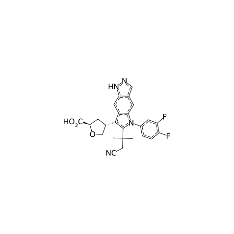 CC(C)(CC#N)c1c([C@@H]2CO[C@@H](C(=O)O)C2)c2cc3[nH]ncc3cc2n1-c1ccc(F)c(F)c1